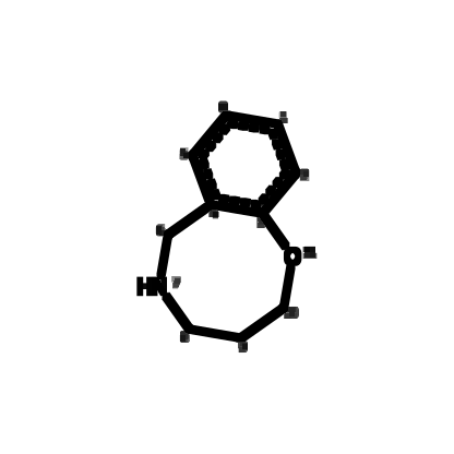 c1ccc2c(c1)CNCCCO2